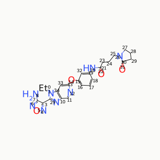 CCn1c(-c2nonc2N)nc2cnc(Oc3cccc(NC(=O)CCCN4CCCC4=O)c3)cc21